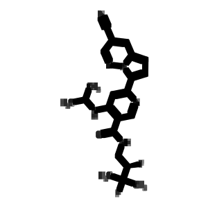 CC(C)Nc1cc(-c2ccc3cc(C#N)cnn23)ncc1C(=O)NC[C@@H](F)C(C)(C)F